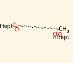 CCCCCCCOC(=O)CCCCCCCCCCCCCCCC(C)C(=O)OCCCCCCC